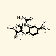 CC(C)n1ncc(/N=C2/C=CC(=[N+](C(C)C)C(C)C)C=C2NC(N)=O)c1N